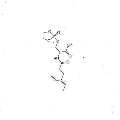 C=C/C(=C\C)CCC(=O)NC(COP(=O)(OC)OC)C(=O)O